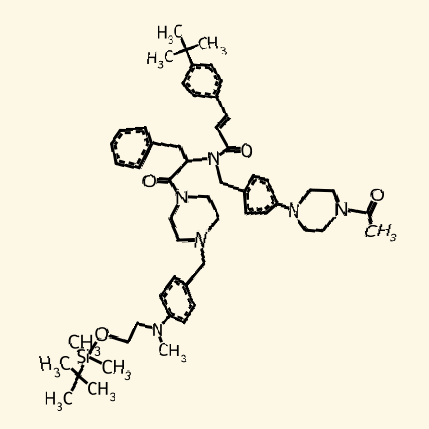 CC(=O)N1CCN(c2ccc(CN(C(=O)C=Cc3ccc(C(C)(C)C)cc3)C(Cc3ccccc3)C(=O)N3CCN(Cc4ccc(N(C)CCO[Si](C)(C)C(C)(C)C)cc4)CC3)cc2)CC1